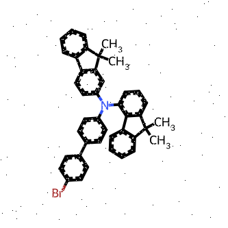 CC1(C)c2ccccc2-c2ccc(N(c3ccc(-c4ccc(Br)cc4)cc3)c3cccc4c3-c3ccccc3C4(C)C)cc21